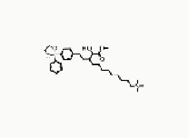 COC(=O)C(O)C(CCCCCCCCC[Si](C)(C)C)CCc1ccc(C2(c3ccccc3)OCCO2)cc1